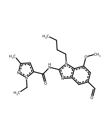 CCCCn1c(NC(=O)c2cc(C)nn2CC)nc2cc(C=O)cc(OC)c21